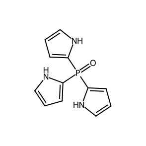 O=P(c1ccc[nH]1)(c1ccc[nH]1)c1ccc[nH]1